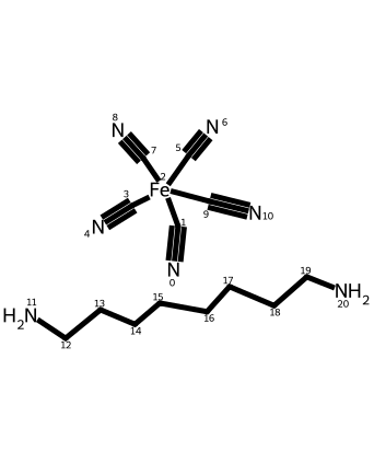 N#[C][Fe]([C]#N)([C]#N)([C]#N)[C]#N.NCCCCCCCCN